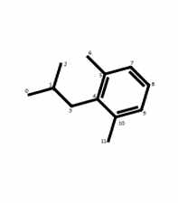 C[C](C)Cc1c(C)cccc1C